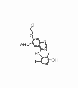 COc1cc2c(Nc3c(F)ccc(O)c3C)ncnc2cc1OCCCl